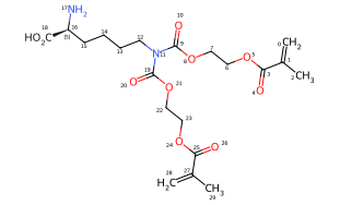 C=C(C)C(=O)OCCOC(=O)N(CCCC[C@H](N)C(=O)O)C(=O)OCCOC(=O)C(=C)C